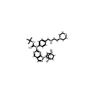 CC(C)(C)OC(=O)N(c1ccc(CNCCN2CCOCC2)cc1)c1ncc2cnn([C@H]3C[C@@H]4CC[C@H]3C4)c2n1